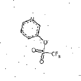 O=S(=O)(Oc1cccnc1)C(F)(F)F